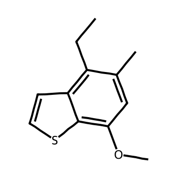 CCc1c(C)cc(OC)c2sccc12